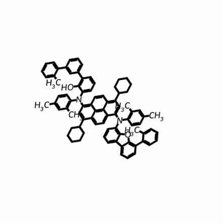 Cc1ccc(N(c2cccc(-c3cccc(-c4ccccc4C)c3)c2O)c2cc(C3CCCCC3)c3ccc4c(N(c5ccc(C)cc5C)c5cccc6c5oc5c(-c7ccccc7C)cccc56)cc(C5CCCCC5)c5ccc2c3c54)c(C)c1